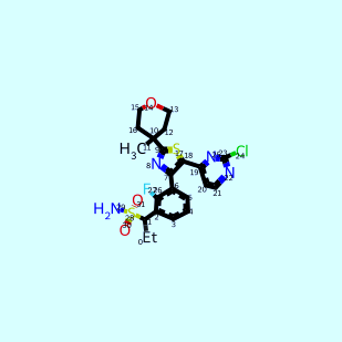 CCC(c1cccc(-c2nc(C3(C)CCOCC3)sc2-c2ccnc(Cl)n2)c1F)S(N)(=O)=O